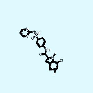 Cn1c(C(=O)NC2=CCC(S(=O)(=O)Nc3ncccn3)C=C2)cc2cc(F)cc(Cl)c21